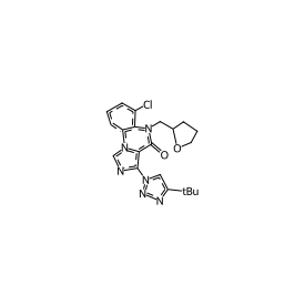 CC(C)(C)c1cn(-c2ncn3c2c(=O)n(CC2CCCO2)c2c(Cl)cccc23)nn1